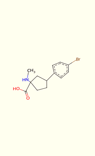 CNC1(C(=O)O)CCC(c2ccc(Br)cc2)C1